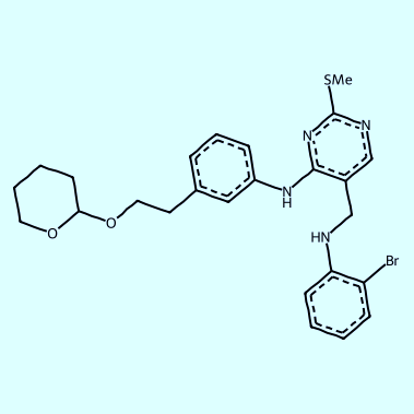 CSc1ncc(CNc2ccccc2Br)c(Nc2cccc(CCOC3CCCCO3)c2)n1